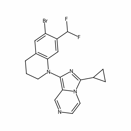 FC(F)c1cc2c(cc1Br)CCCN2c1nc(C2CC2)n2ccncc12